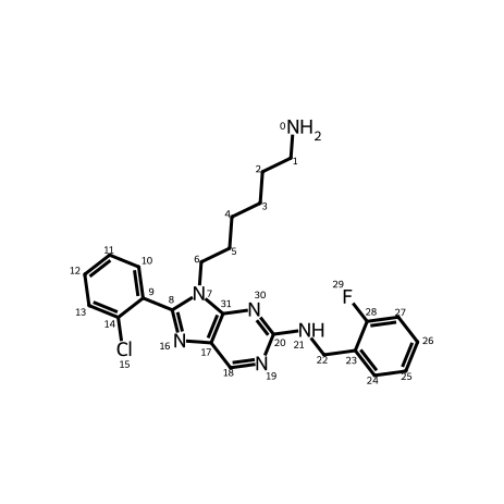 NCCCCCCn1c(-c2ccccc2Cl)nc2cnc(NCc3ccccc3F)nc21